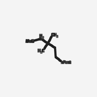 CCCCCCCC(C)(C)[SiH2]OC